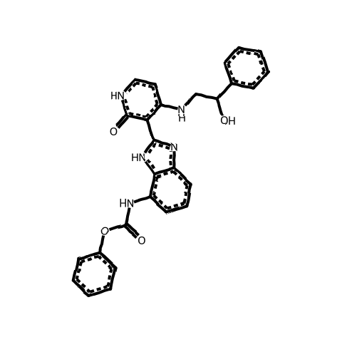 O=C(Nc1cccc2nc(-c3c(NCC(O)c4ccccc4)cc[nH]c3=O)[nH]c12)Oc1ccccc1